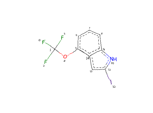 FC(F)(F)Oc1cccc2[nH]c(I)cc12